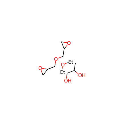 C(OCC1CO1)C1CO1.CC(O)CO.CCOCC